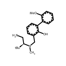 COc1ccccc1-c1cccc(CN(C)[C@H](CN)C(C)(C)C)c1O